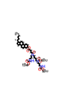 CC(C)CCC[C@@H](C)C1CCC2C3CC=C4CC(OC(=O)CCC(=O)N(CCCCN(CCCNC(=O)OC(C)(C)C)C(=O)OC(C)(C)C)CCCNC(=O)OC(C)(C)C)CCC4C3CCC21